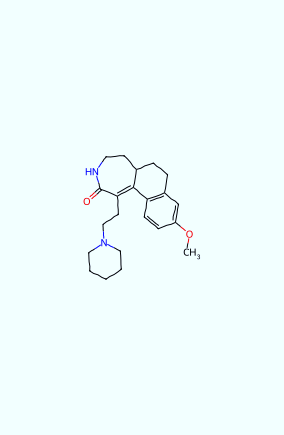 COc1ccc2c(c1)CCC1CCNC(=O)C(CCN3CCCCC3)=C21